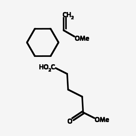 C1CCCCC1.C=COC.COC(=O)CCCC(=O)O